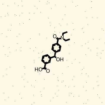 CCN(CC)C(=O)c1ccc(C(O)c2cccc(C(=O)O)c2)cc1